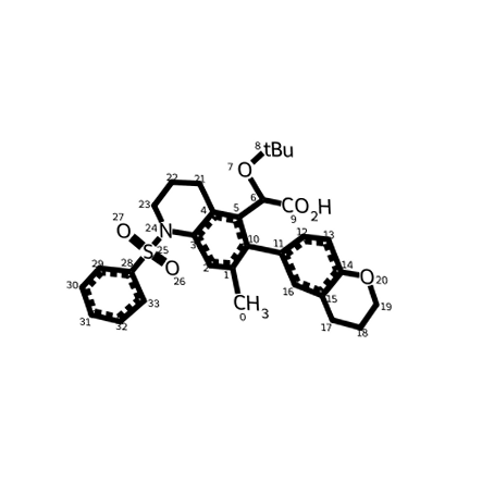 Cc1cc2c(c(C(OC(C)(C)C)C(=O)O)c1-c1ccc3c(c1)CCCO3)CCCN2S(=O)(=O)c1ccccc1